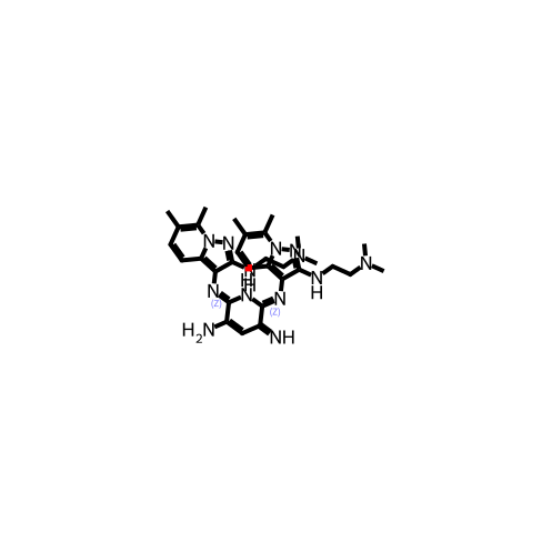 Cc1ccc2c(/N=C3\N/C(=N\c4c(NCCN(C)C)nn5c(C)c(C)ccc45)C(N)=CC3=N)c(NCCN(C)C)nn2c1C